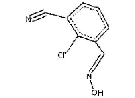 N#Cc1cccc(C=NO)c1Cl